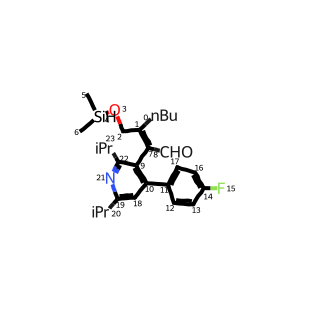 CCCCC(CO[SiH](C)C)=C(C=O)c1c(-c2ccc(F)cc2)cc(C(C)C)nc1C(C)C